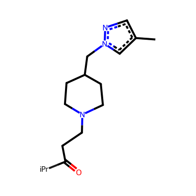 Cc1cnn(CC2CCN(CCC(=O)C(C)C)CC2)c1